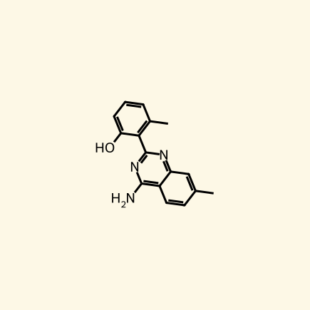 Cc1ccc2c(N)nc(-c3c(C)cccc3O)nc2c1